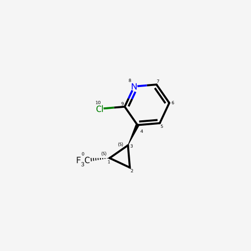 FC(F)(F)[C@H]1C[C@@H]1c1cccnc1Cl